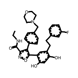 CCNC(=O)c1noc(-c2cc(CCc3cccc(F)c3)c(O)cc2O)c1-c1ccc(CN2CCOCC2)cc1